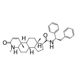 CN1C(=O)C=C[C@]2(C)[C@H]3CC[C@]4(C)[C@@H](C(=O)N[C@H](Cc5ccccc5)c5ccccc5)CC[C@H]4[C@@H]3CC[C@@H]12